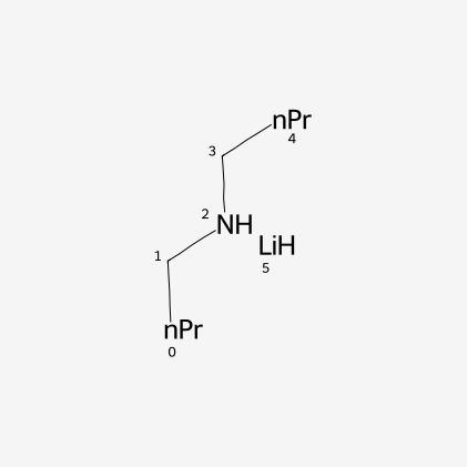 CCCCNCCCC.[LiH]